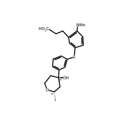 CNc1ccc(Sc2cccc([C@@]3(O)CCO[C@@H](C)C3)c2)cc1CCC(=O)O